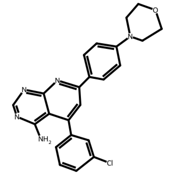 Nc1ncnc2nc(-c3ccc(N4CCOCC4)cc3)cc(-c3cccc(Cl)c3)c12